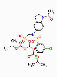 CC(=O)N1CCc2cc(N(CP(=O)(O)OC(OC(=O)OC(C)C)OC(=O)OC(C)C)S(=O)(=O)c3cc(Cl)cc(Cl)c3)ccc21